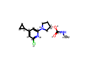 CC(C)(C)NC(=O)O[C@H]1CCN(c2cc(C3CC3)cc(Cl)n2)C1